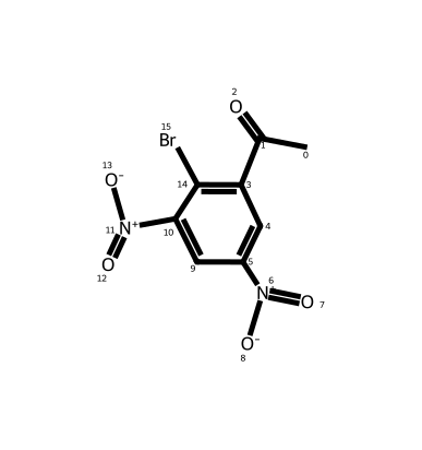 CC(=O)c1cc([N+](=O)[O-])cc([N+](=O)[O-])c1Br